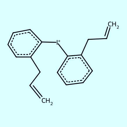 C=CCc1ccccc1[I+]c1ccccc1CC=C